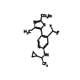 CCOC(=O)c1nc(C)c(-c2cnc(NC(C3CC3)C(F)(F)F)cc2C(F)F)s1